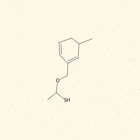 CC1C=C(COC(C)S)C=CC1